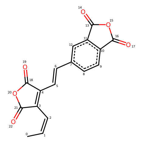 C/C=C\C1=C(/C=C/c2ccc3c(c2)C(=O)OC3=O)C(=O)OC1=O